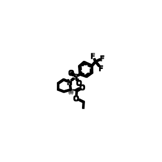 CCOC(=O)[C@@H]1CCCCN1S(=O)(=O)c1ccc(C(F)(F)F)cc1